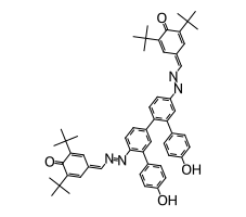 CC(C)(C)C1=CC(=C/N=N/c2ccc(-c3ccc(/N=N/C=C4C=C(C(C)(C)C)C(=O)C(C(C)(C)C)=C4)c(-c4ccc(O)cc4)c3)c(-c3ccc(O)cc3)c2)C=C(C(C)(C)C)C1=O